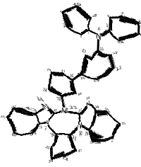 c1ccc(N(c2ccccc2)c2cccc(-c3cccc(-n4c5nc6ccccc6n5c5ccccc5n5c6ccccc6nc45)c3)c2)cc1